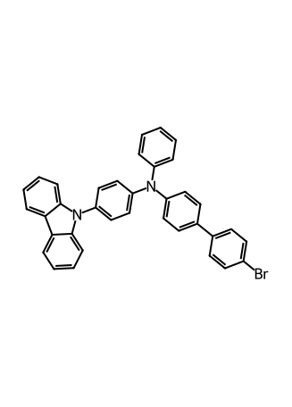 Brc1ccc(-c2ccc(N(c3ccccc3)c3ccc(-n4c5ccccc5c5ccccc54)cc3)cc2)cc1